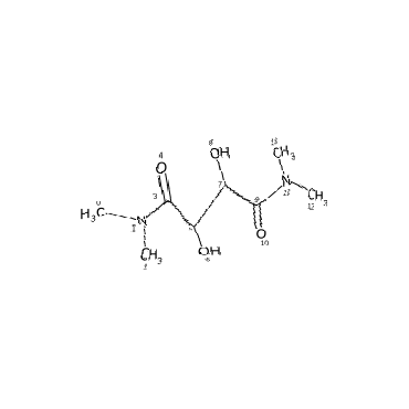 CN(C)C(=O)C(O)C(O)C(=O)N(C)C